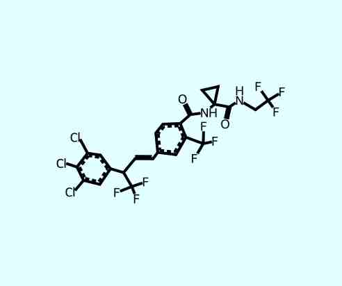 O=C(NC1(C(=O)NCC(F)(F)F)CC1)c1ccc(C=CC(c2cc(Cl)c(Cl)c(Cl)c2)C(F)(F)F)cc1C(F)(F)F